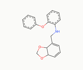 C1=CC2OCOC2C(CNc2ccccc2Oc2ccccc2)=C1